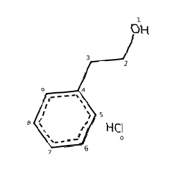 Cl.OCCc1ccccc1